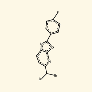 Fc1ccc(-c2nc3ccc(C(Br)Br)nc3o2)cc1